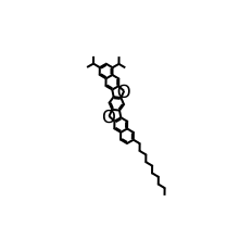 CCCCCCCCCCc1ccc2cc3oc4cc5c(cc4c3cc2c1)oc1cc2c(C(C)C)cc(C(C)C)cc2cc15